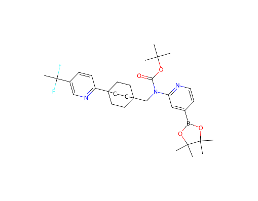 CC(C)(C)OC(=O)N(CC12CCC(c3ccc(C(C)(F)F)cn3)(CC1)CC2)c1cc(B2OC(C)(C)C(C)(C)O2)ccn1